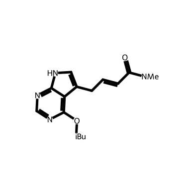 CCC(C)Oc1ncnc2[nH]cc(CC=CC(=O)NC)c12